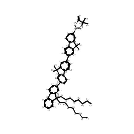 C=C1OB(c2ccc3c(c2)C(C)(C)c2cc(-c4ccc5c(c4)C(C)(C)c4cc(-c6ccc7c(c6)C(CCCCCCCC)(CCCCCCCC)c6ccccc6-7)ccc4-5)ccc2-3)OC1(C)C